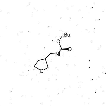 CC(C)(C)OC(=O)NCC1CCOC1